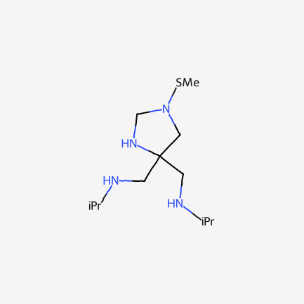 CSN1CNC(CNC(C)C)(CNC(C)C)C1